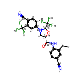 CCc1cc(C#N)ccc1NC(=O)[C@@H]1CN(c2ccc(C#N)c(C(F)(F)F)c2)[C@@H](C(F)(F)F)O1